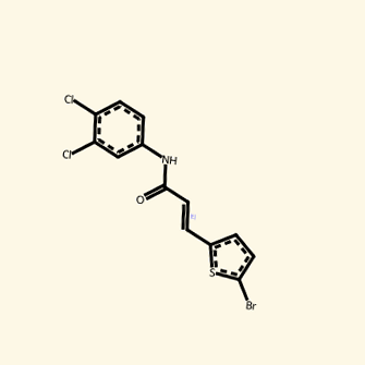 O=C(/C=C/c1ccc(Br)s1)Nc1ccc(Cl)c(Cl)c1